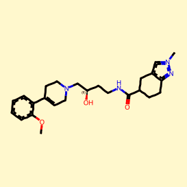 COc1ccccc1C1=CCN(C[C@H](O)CCNC(=O)C2CCc3nn(C)cc3C2)CC1